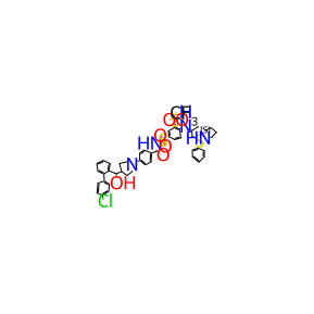 O=C(NS(=O)(=O)c1ccc(NC(CSc2ccccc2)C[C@@H]2CCCN2)c(S(=O)(=O)C(F)(F)F)c1)c1ccc(N2CCC(C(O)c3ccccc3-c3ccc(Cl)cc3)CC2)cc1